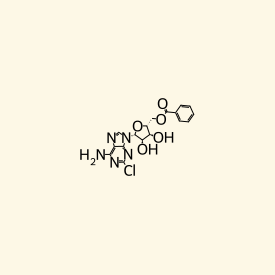 Nc1nc(Cl)nc2c1ncn2[C@@H]1O[C@H](COC(=O)c2ccccc2)[C@@H](O)[C@H]1O